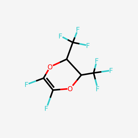 FC1=C(F)OC(C(F)(F)F)C(C(F)(F)F)O1